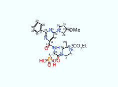 CCOC(=O)N1CCN(C(=O)[C@H](CP(=O)(O)O)NC(=O)c2cc(N3CC[C@H](OC)C3)nc(-c3ccccc3)n2)CC1C